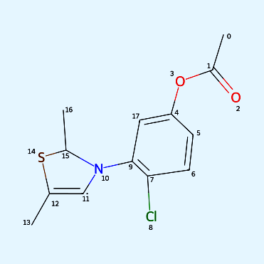 CC(=O)Oc1ccc(Cl)c(N2[C]=C(C)SC2C)c1